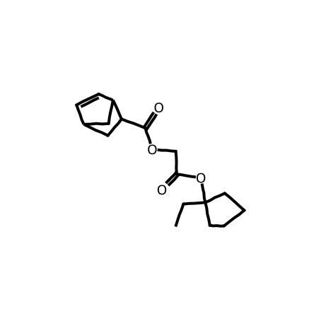 CCC1(OC(=O)COC(=O)C2CC3C=CC2C3)CCCC1